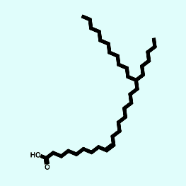 CCCCCCCCCCCC(CCCCCC)CCCCCCCC/C=C\CCCCCCCC(=O)O